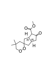 COC(=O)C1C(=O)C[C@H]2CC3(C[C@@H]12)CC(C)(C)COO3